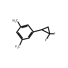 Cc1cc(C2CC2(F)F)cc(C(F)(F)F)c1